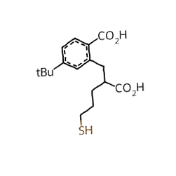 CC(C)(C)c1ccc(C(=O)O)c(CC(CCCS)C(=O)O)c1